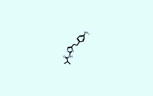 CC(C)C(=O)Nc1nc(CCc2ccc(N)cc2)cs1